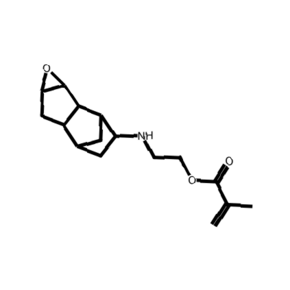 C=C(C)C(=O)OCCNC1CC2CC1C1C2CC2OC21